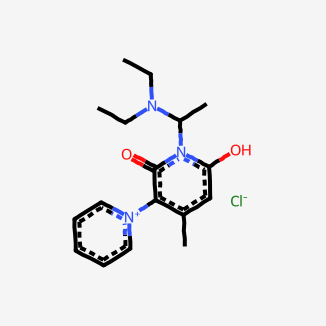 CCN(CC)C(C)n1c(O)cc(C)c(-[n+]2ccccc2)c1=O.[Cl-]